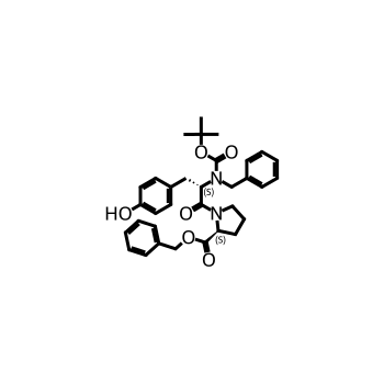 CC(C)(C)OC(=O)N(Cc1ccccc1)[C@@H](Cc1ccc(O)cc1)C(=O)N1CCC[C@H]1C(=O)OCc1ccccc1